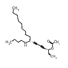 C=C[C@@H](C#CC#C[C@@H](CCCCCCCCC)NCCCC)OC(C)=O